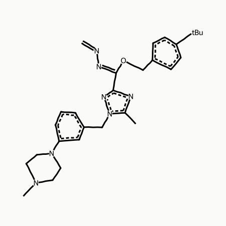 C=N/N=C(\OCc1ccc(C(C)(C)C)cc1)c1nc(C)n(Cc2cccc(N3CCN(C)CC3)c2)n1